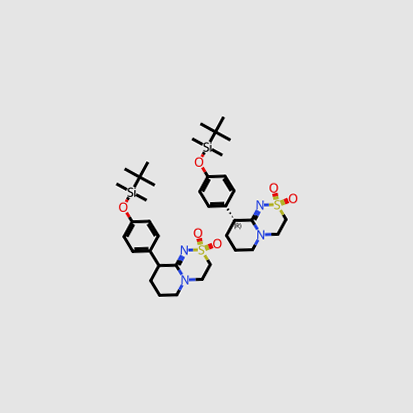 CC(C)(C)[Si](C)(C)Oc1ccc(C2CCCN3CCS(=O)(=O)N=C23)cc1.CC(C)(C)[Si](C)(C)Oc1ccc([C@H]2CCCN3CCS(=O)(=O)N=C23)cc1